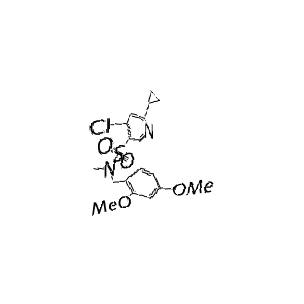 COc1ccc(CN(C)S(=O)(=O)c2cnc(C3CC3)cc2Cl)c(OC)c1